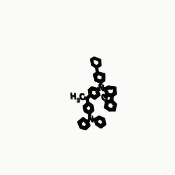 CC(c1ccc(N(c2ccccc2)c2ccccc2)cc1)c1ccc(N(c2ccc(C3CCCCC3)cc2)c2cccc3c2oc2ccccc23)cc1